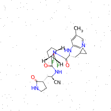 Cc1cncc(N[C@H](CC2CC2)C(=O)N2[C@H]3CC[C@@H]([C@H]2C(=O)N[C@@H](C#N)C[C@@H]2CCNC2=O)C(F)(F)C3)c1